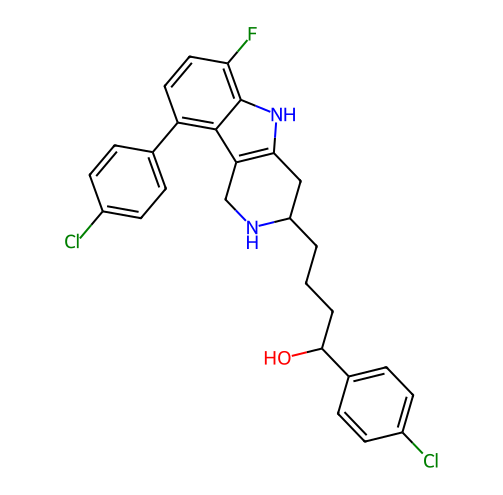 OC(CCCC1Cc2[nH]c3c(F)ccc(-c4ccc(Cl)cc4)c3c2CN1)c1ccc(Cl)cc1